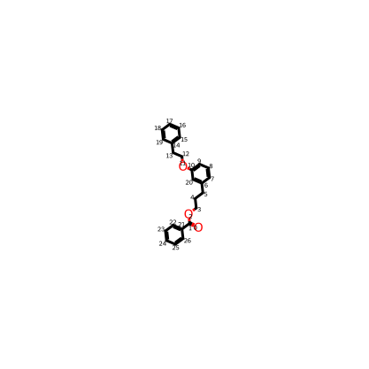 O=C(OCCCc1cccc(OCCc2ccccc2)c1)c1ccccc1